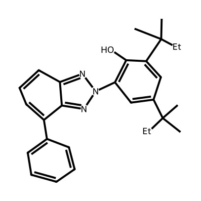 CCC(C)(C)c1cc(-n2nc3cccc(-c4ccccc4)c3n2)c(O)c(C(C)(C)CC)c1